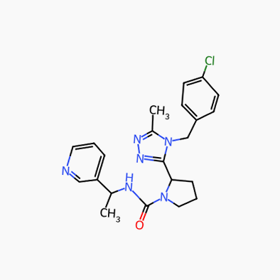 Cc1nnc(C2CCCN2C(=O)NC(C)c2cccnc2)n1Cc1ccc(Cl)cc1